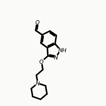 O=Cc1ccc2[nH]nc(OCCN3CCCCC3)c2c1